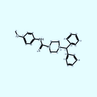 COc1ccc(NC(=S)N2CCN(C(c3ccccc3)c3ccccc3)CC2)cc1